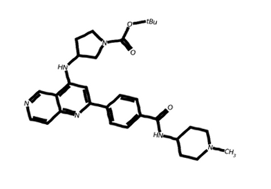 CN1CCC(NC(=O)c2ccc(-c3cc(NC4CCN(C(=O)OC(C)(C)C)C4)c4cnccc4n3)cc2)CC1